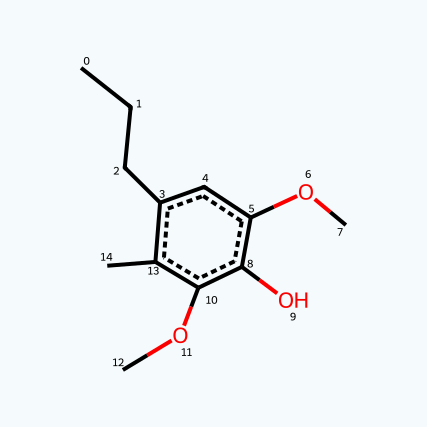 CCCc1cc(OC)c(O)c(OC)c1C